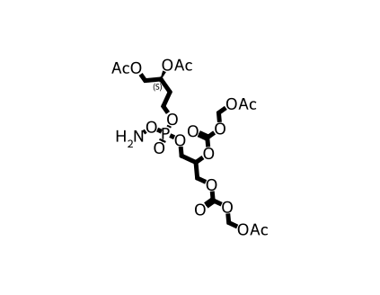 CC(=O)OCOC(=O)OCC(COP(=O)(ON)OCC[C@@H](COC(C)=O)OC(C)=O)OC(=O)OCOC(C)=O